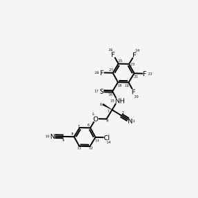 C[C@@](C#N)(COc1cc(C#N)ccc1Cl)NC(=S)c1c(F)c(F)c(F)c(F)c1F